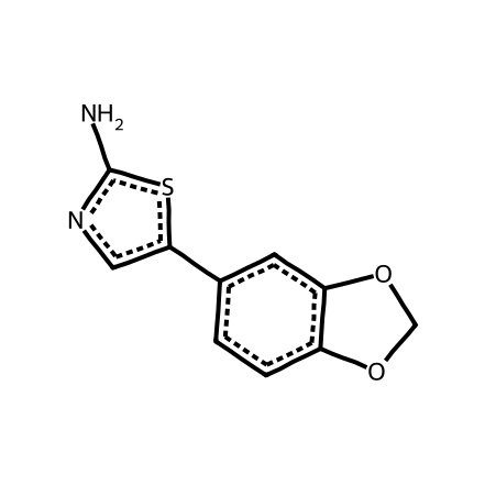 Nc1ncc(-c2ccc3c(c2)OCO3)s1